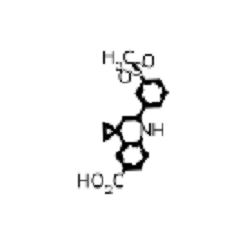 CS(=O)(=O)c1cccc(C2CC3(CC3)c3cc(C(=O)O)ccc3N2)c1